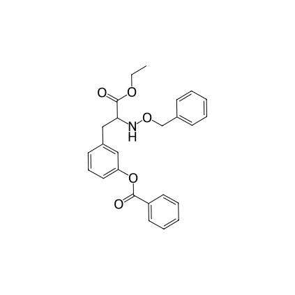 CCOC(=O)C(Cc1cccc(OC(=O)c2ccccc2)c1)NOCc1ccccc1